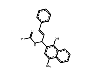 CCCC(=O)NC(/C=C/c1ccccc1)c1cc([N+](=O)[O-])c2cccnc2c1O